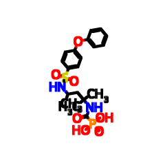 CC(CC(C)(C)NC(=O)P(=O)(O)O)NS(=O)(=O)c1ccc(Oc2ccccc2)cc1